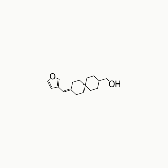 OCC1CCC2(CCC(=Cc3ccoc3)CC2)CC1